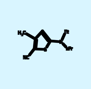 CCCN(CC)c1cc(C)c(C#N)s1